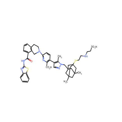 Cc1c(-c2ccc(N3CCc4cccc(C(=O)Nc5nc6ccccc6s5)c4C3)nc2C(=O)O)cnn1CC12CC3(C)CC(C)(C1)CC(SCCNCCS(=O)(=O)O)(C3)C2